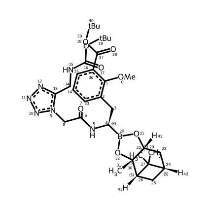 COc1c(C[C@H](NC(=O)Cn2nnnc2CNC(=O)OC(C)(C)C)B2O[C@@H]3C[C@@H]4C[C@@H](C4(C)C)[C@]3(C)O2)cccc1C(=O)OC(C)(C)C